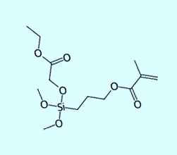 C=C(C)C(=O)OCCC[Si](OC)(OC)OCC(=O)OCC